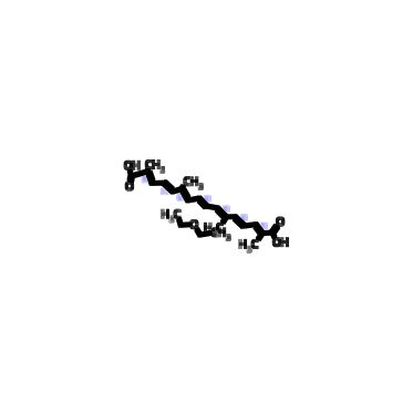 CC(/C=C/C=C(\C)C(=O)O)=C\C=C\C=C(C)\C=C\C=C(/C)C(=O)O.CCOCC